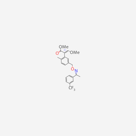 CO/C=C(/C(=O)OC)c1cc(CON=C(C)c2cccc(C(F)(F)F)c2)ccc1C